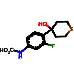 O=C(O)Nc1ccc(C2(O)CCSCC2)c(F)c1